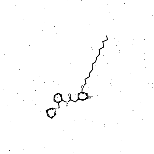 CCCCCCCCCCCCCCOc1cccc(CC(=O)Nc2ccccc2C[n+]2ccccc2)c1.[Br-]